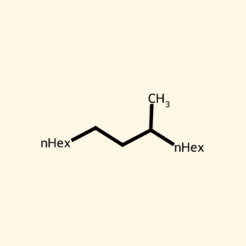 C[CH]CCCCC(C)CCCCCCCC